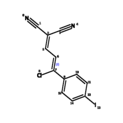 N#CC(C#N)=C/C=C(\Cl)c1ccc(I)cc1